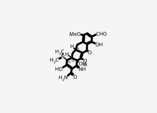 COc1cc(C=O)c(O)c2c1C[C@H]1C[C@H]3[C@H](N(C)C)C(O)=C(C(N)=O)C(=N)[C@@]3(O)C(O)=C1C2=O